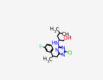 CC(C)CC(CO)Nc1nc(Cl)nc(CC(C)c2cccc(F)c2)n1